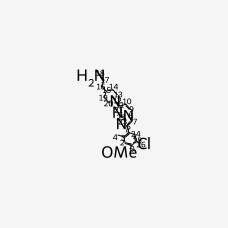 COc1cc(C)c(-c2cn3ccc(N4CCC(CCN)CC4)nc3n2)cc1Cl